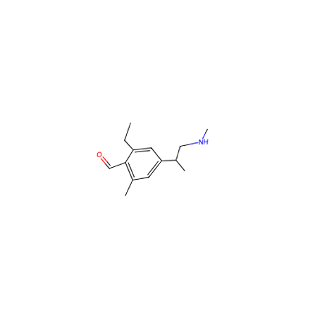 CCc1cc(C(C)CNC)cc(C)c1C=O